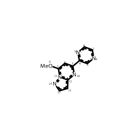 COc1cc(-c2cnccn2)nc2ccnn12